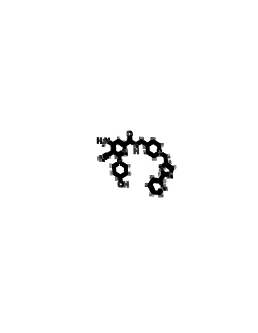 N#Cc1c(N)cc(C(=O)NCC2CCN(Cc3cnc(-c4ccccn4)s3)CC2)nc1N1CCC(O)CC1